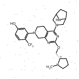 CN1CCC[C@H]1COc1nc2c(c(N3CC4CCC(C3)N4)n1)CCN(c1cc(O)ccc1C(F)(F)F)C2